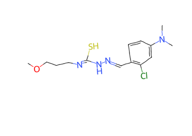 COCCC/N=C(\S)N/N=C/c1ccc(N(C)C)cc1Cl